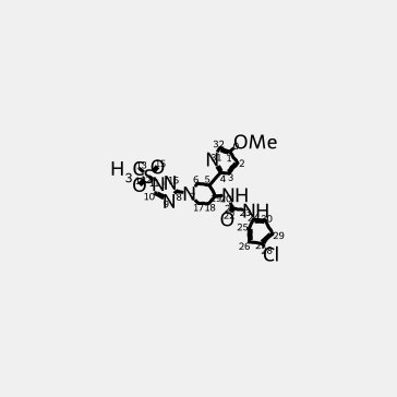 COc1ccc(C2CN(c3ncn(S(C)(=O)=O)n3)CCC2NC(=O)Nc2ccc(Cl)cc2)nc1